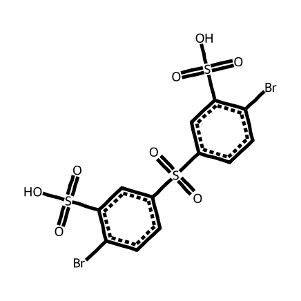 O=S(=O)(O)c1cc(S(=O)(=O)c2ccc(Br)c(S(=O)(=O)O)c2)ccc1Br